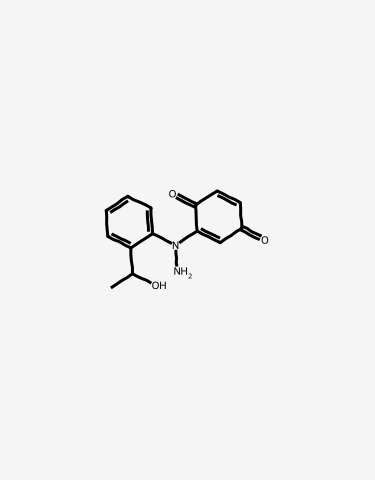 CC(O)c1ccccc1N(N)C1=CC(=O)C=CC1=O